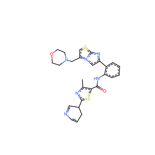 Cc1nc(C2C=NC=CC2)sc1C(=O)Nc1ccccc1-c1cn2c(CN3CCOCC3)csc2n1